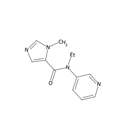 CCN(C(=O)c1cncn1C)c1cccnc1